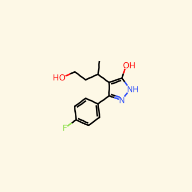 CC(CCO)c1c(-c2ccc(F)cc2)n[nH]c1O